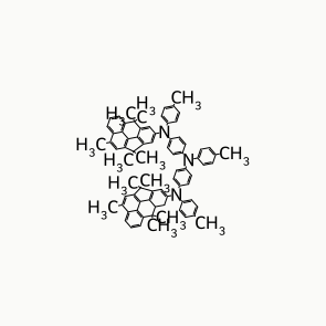 Cc1ccc(N(C2=CC3=C4c5c(cc(C)c6cccc(c56)C(C)(C)C4C2)C3(C)C)c2ccc(N(c3ccc(C)cc3)c3ccc(N(c4ccc(C)cc4)c4cc5c6c(c4)C(C)(C)c4cccc7c(C)cc(c-6c47)C5(C)C)cc3)cc2)cc1